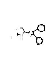 CCC(NC(=O)O)c1nc(-c2ccccc2)c(-c2ccccc2)[nH]1